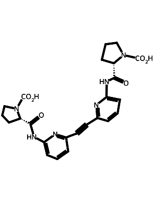 O=C(Nc1cccc(C#Cc2cccc(NC(=O)[C@@H]3CCCN3C(=O)O)n2)n1)[C@@H]1CCCN1C(=O)O